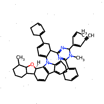 C#C/C=C(\C=C/C)C1N=C(C2CC(C3=CC=CCC3)=CC=C2n2c3c(c4c2=CCCC=4)C=CC2C4CCCC(C)C4O[C@@H]32)N=C(C2=CC=CCC2)N1C